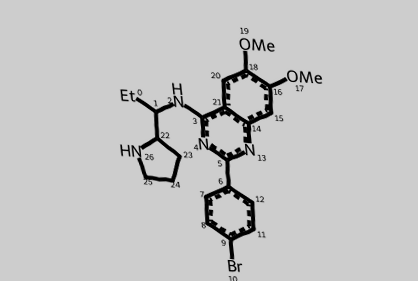 CCC(Nc1nc(-c2ccc(Br)cc2)nc2cc(OC)c(OC)cc12)C1CCCN1